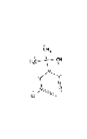 CC(C)(C)C(C=O)CC(=O)O